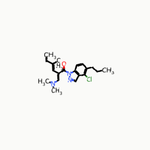 CCCc1ccc2c(cnn2C(=O)C(/C=C(\C)CC)=C/N(C)C)c1Cl